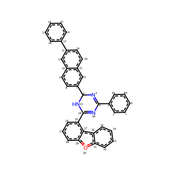 c1ccc(C2=NC(c3ccc4cc(-c5ccccc5)ccc4c3)NC(c3cccc4oc5ccccc5c34)=N2)cc1